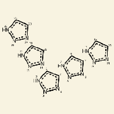 c1c[nH]nn1.c1c[nH]nn1.c1c[nH]nn1.c1c[nH]nn1.c1c[nH]nn1